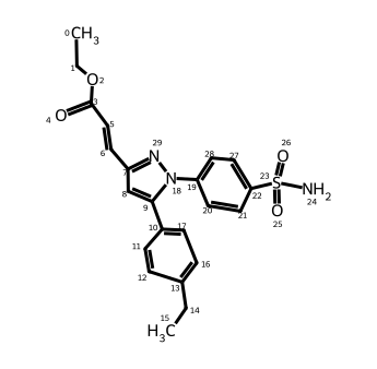 CCOC(=O)/C=C/c1cc(-c2ccc(CC)cc2)n(-c2ccc(S(N)(=O)=O)cc2)n1